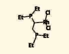 CCP(CC)C[CH](P(CC)CC)[Rh]([Cl])[Cl]